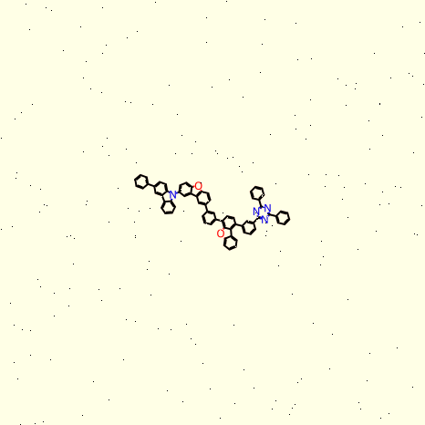 c1ccc(-c2ccc3c(c2)c2ccccc2n3-c2ccc3oc4ccc(-c5cccc(-c6ccc(-c7cccc(-c8nc(-c9ccccc9)nc(-c9ccccc9)n8)c7)c7c6oc6ccccc67)c5)cc4c3c2)cc1